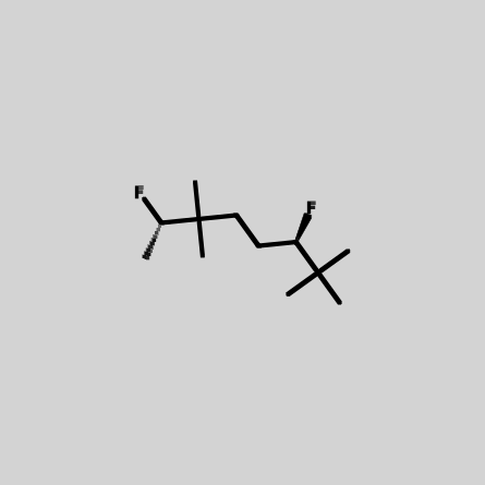 C[C@H](F)C(C)(C)CC[C@@H](F)C(C)(C)C